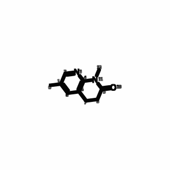 Cc1cnc2c(c1)CCC(=O)N2C